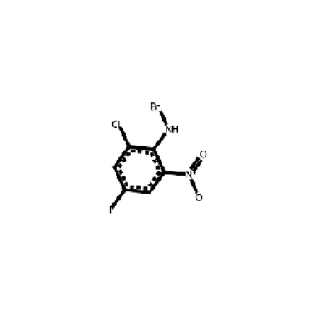 O=[N+]([O-])c1cc(I)cc(Cl)c1NBr